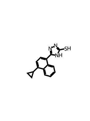 Sc1nnc(-c2ccc(C3CC3)c3ccccc23)[nH]1